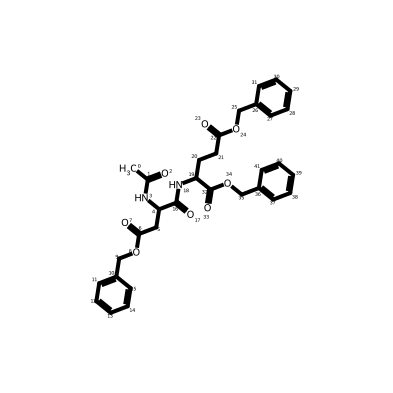 CC(=O)NC(CC(=O)OCc1ccccc1)C(=O)NC(CCC(=O)OCc1ccccc1)C(=O)OCc1ccccc1